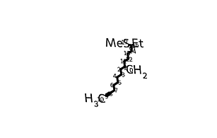 C=C(CCCCCCC#CC)CCCC[C@H](CC)SC